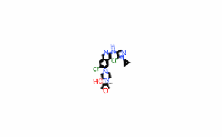 C[C@]1(N2CCN(c3cc4cc(Nc5cnn(C6CC6)c5Cl)ncc4cc3Cl)CC2)COC[C@H]1O